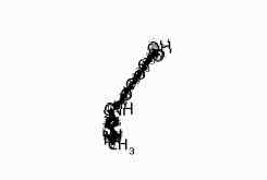 Cc1nnc(-c2ccc(C(=O)NCCCOCCOCCOCCOCCC(=O)O)cc2)nn1